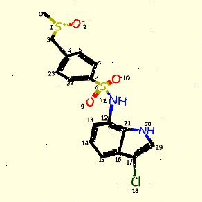 C[S+]([O-])Cc1ccc(S(=O)(=O)Nc2cccc3c(Cl)c[nH]c23)cc1